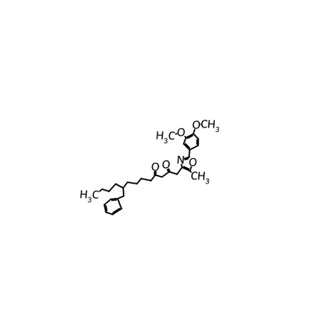 CCCCC(CCCCC(=O)CC(=O)Cc1nc(-c2ccc(OC)c(OC)c2)oc1C)Cc1ccccc1